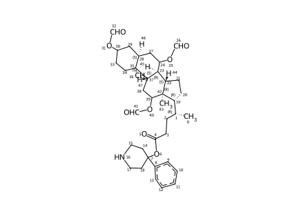 C[C@H](CCC(=O)OC1(c2ccccc2)CCNCC1)[C@H]1CC[C@H]2[C@@H]3C(OC=O)C[C@@H]4CC(OC=O)CC[C@]4(C)[C@H]3CC(OC=O)[C@]12C